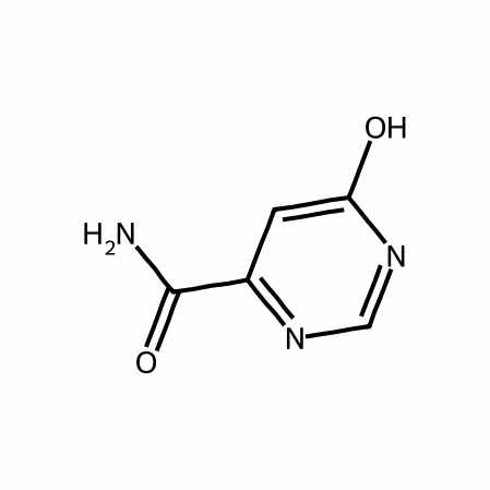 NC(=O)c1cc(O)ncn1